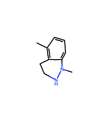 Cc1cccc2c1CCNN2C